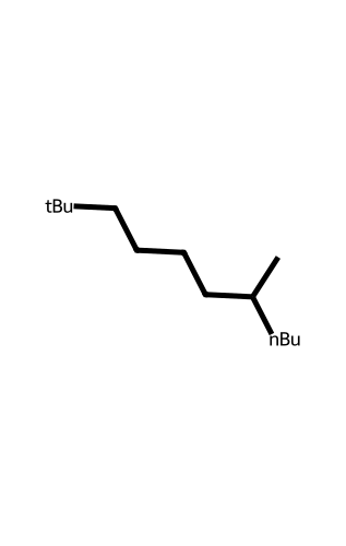 [CH2]C(C)(C)CCCCC(C)CCCC